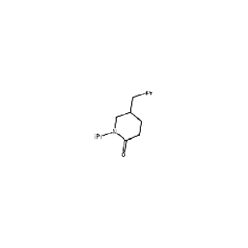 CC(C)CC1CCC(=O)N(C(C)C)C1